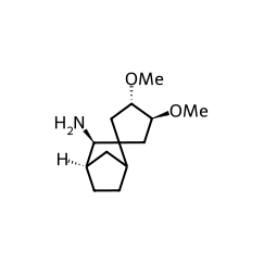 CO[C@H]1CC2(C[C@@H]1OC)C1CC[C@H](C1)[C@H]2N